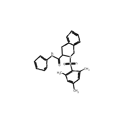 Cc1cc(C)c(S(=O)(=O)N2Cc3ccccc3CC2C(=O)Nc2ccccc2)c(C)c1